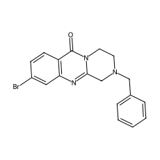 O=c1c2ccc(Br)cc2nc2n1CCN(Cc1ccccc1)C2